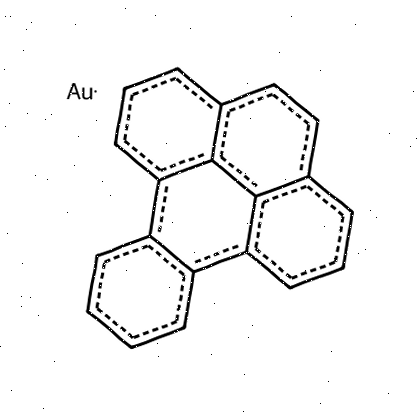 [Au].c1ccc2c(c1)c1cccc3ccc4cccc2c4c31